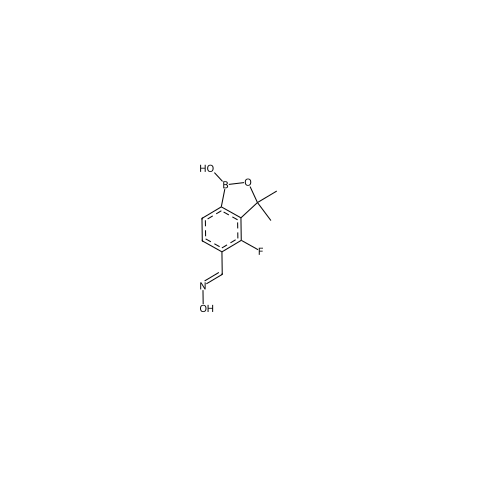 CC1(C)OB(O)c2ccc(C=NO)c(F)c21